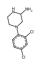 NC1CN(c2ccc(Cl)cc2Cl)CCN1